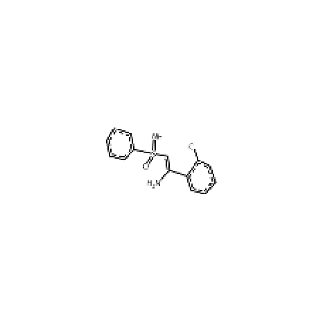 N=S(=O)(C=C(N)c1ccccc1Cl)c1ccccc1